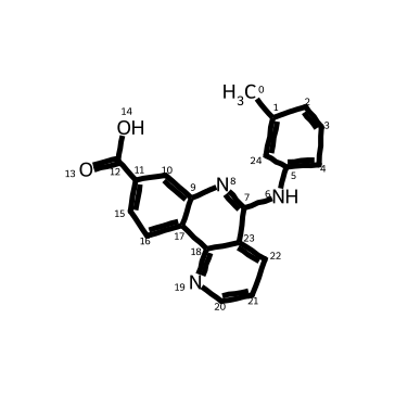 Cc1cccc(Nc2nc3cc(C(=O)O)ccc3c3ncccc23)c1